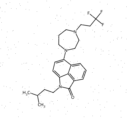 CC(C)CCN1C(=O)c2cccc3c(N4CCCN(CCC(F)(F)F)CC4)ccc1c23